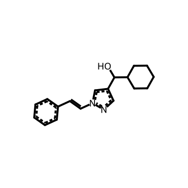 OC(c1cnn(C=Cc2ccccc2)c1)C1CCCCC1